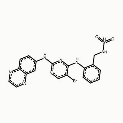 O=[SH](=O)NCc1ccccc1Nc1nc(Nc2ccc3nccnc3c2)ncc1Br